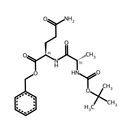 C[C@H](NC(=O)OC(C)(C)C)C(=O)N[C@H](CCC(N)=O)C(=O)OCc1ccccc1